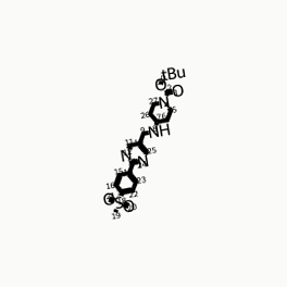 CC(C)(C)OC(=O)N1CCC(NCc2cnc(-c3ccc(S(C)(=O)=O)cc3)nc2)CC1